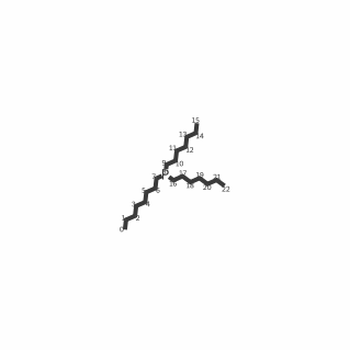 CCCCCCCCP(CCCCCCC)CCCCCCC